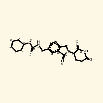 O=C1CCC(N2Cc3ccc(CNC(=O)OC4CCCCC4)cc3C2=O)C(=O)N1